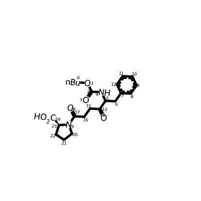 CCCCOC(=O)NC(Cc1ccccc1)C(=O)CCC(=O)N1CCC[C@H]1C(=O)O